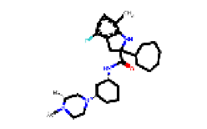 CC[C@@H]1CN([C@H]2CCC[C@@H](NC(=O)C3(C4CCCCCC4)Cc4c(F)ccc(C)c4N3)C2)CCN1C(C)=O